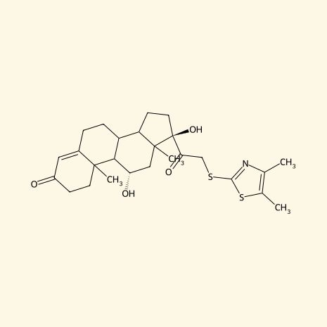 Cc1nc(SCC(=O)[C@@]2(O)CCC3C4CCC5=CC(=O)CCC5(C)C4[C@@H](O)CC32C)sc1C